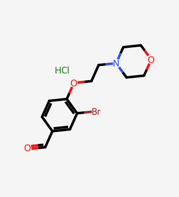 Cl.O=Cc1ccc(OCCN2CCOCC2)c(Br)c1